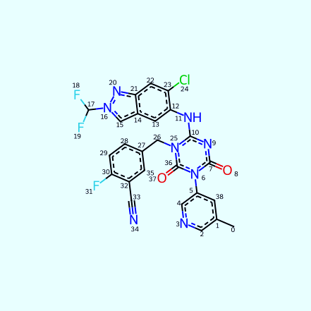 Cc1cncc(-n2c(=O)nc(Nc3cc4cn(C(F)F)nc4cc3Cl)n(Cc3ccc(F)c(C#N)c3)c2=O)c1